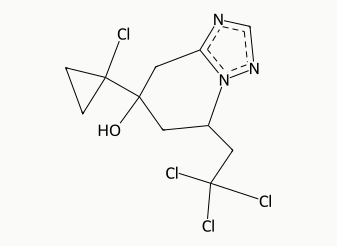 OC1(C2(Cl)CC2)Cc2ncnn2C(CC(Cl)(Cl)Cl)C1